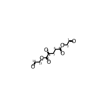 O=CCOC(=O)CCC(=O)C(=O)OCC=O